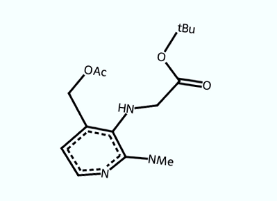 CNc1nccc(COC(C)=O)c1NCC(=O)OC(C)(C)C